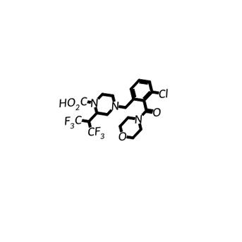 O=C(c1c(Cl)cccc1CN1CCN(C(=O)O)C(C(C(F)(F)F)C(F)(F)F)C1)N1CCOCC1